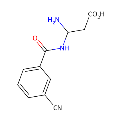 N#Cc1cccc(C(=O)NC(N)CC(=O)O)c1